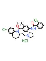 Cc1cc(NC(=O)c2ccccc2Cl)ccc1C(=O)N1c2ccc(Cl)cc2CCCC1CCN1CCCC1.Cl